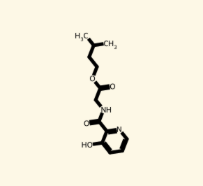 CC(C)CCOC(=O)CNC(=O)c1ncccc1O